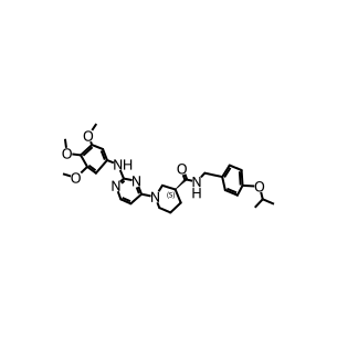 COc1cc(Nc2nccc(N3CCC[C@H](C(=O)NCc4ccc(OC(C)C)cc4)C3)n2)cc(OC)c1OC